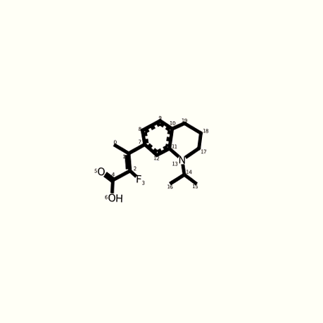 CC(=C(F)C(=O)O)c1ccc2c(c1)N(C(C)C)CCC2